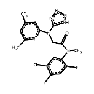 Cc1cc(C(F)(F)F)cc(N(CC(=O)N(C)c2cc(Cl)c(F)cc2F)c2nnn[nH]2)n1